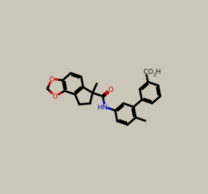 Cc1ccc(NC(=O)C2(C)CCc3c2ccc2c3OCO2)cc1-c1cccc(C(=O)O)c1